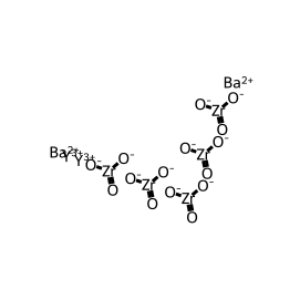 [Ba+2].[Ba+2].[O]=[Zr]([O-])[O-].[O]=[Zr]([O-])[O-].[O]=[Zr]([O-])[O-].[O]=[Zr]([O-])[O-].[O]=[Zr]([O-])[O-].[Y+3].[Y+3]